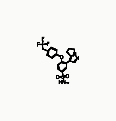 CNS(=O)(=O)c1ccc(Oc2ccc(CC(F)(F)F)cc2)c(-c2cnn3c2CCC3)c1